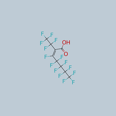 O=C(O)C(=C(F)C(F)(F)C(F)(F)C(F)(F)C(F)(F)F)C(F)(F)C(F)(F)F